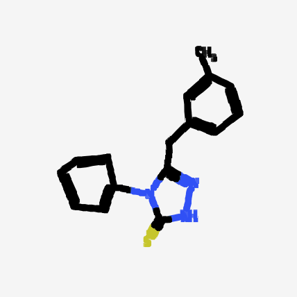 Cc1cccc(Cc2n[nH]c(=S)n2-c2ccccc2)c1